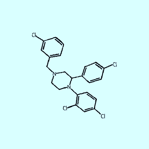 Clc1ccc(C2CN(Cc3cccc(Cl)c3)CCN2c2ccc(Cl)cc2Cl)cc1